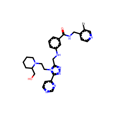 CCc1cnccc1CNC(=O)c1cccc(NCc2nnc(-c3ccncn3)n2CCN2CCCCC2CO)c1